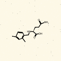 Cc1ccc(CN[C@@H](CCC(N)=O)C(=O)O)c(C)c1